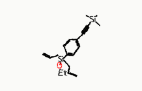 C=CC[Si](CC=C)(OCC)c1ccc(C#C[Si](C)(C)C)cc1